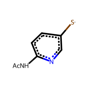 CC(=O)Nc1ccc([S])cn1